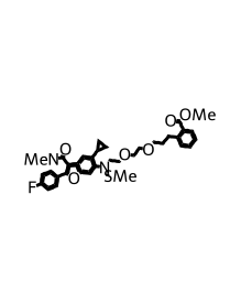 CNC(=O)c1c(-c2ccc(F)cc2)oc2cc(N(CCOCCOCCCc3ccccc3C(=O)OC)SC)c(C3CC3)cc12